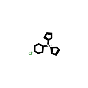 C1=CC[C]([Zr+]([C]2=CC=CC2)[CH]2CCCCC2)=C1.[Cl-]